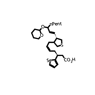 CCCCCC(/C=C/[C@@H]1CSCC1C/C=C\C[C@@H](CC(=O)O)c1ccc[se]1)OC1CCCCO1